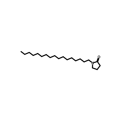 CCCCCCCCCCCCCCCCCN1CCCC1=O